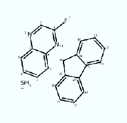 Fc1cnc2ccccc2n1.[SiH4].c1ccc2c(c1)Cc1ccccc1-2